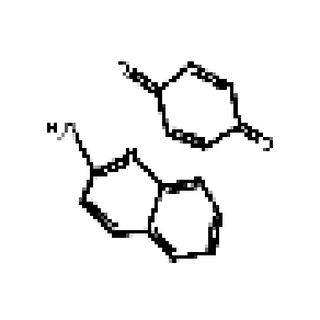 Nc1ccc2ccccc2n1.O=C1C=CC(=O)C=C1